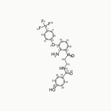 Nc1c(Oc2ccc(C(F)(F)F)cc2)cccc1C(=O)CCNC(=O)c1ccc(O)cc1